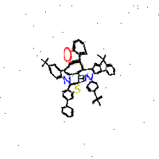 CC(C)(C)c1ccc(N2B3c4sc5cc(-c6ccccc6)ccc5c4-n4c5ccc(C(C)(C)C)cc5c5c6oc7ccccc7c6c(c3c54)-c3cc4c(cc32)-c2ccccc2C4(C)C)cc1